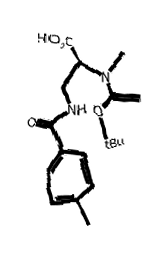 C=C(OC(C)(C)C)N(C)[C@@H](CNC(=O)c1ccc(C)cc1)C(=O)O